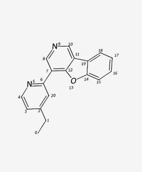 CCc1ccnc(-c2cncc3c2oc2ccccc23)c1